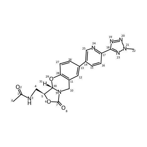 CC(=O)NC[C@@H]1OC(=O)N2Cc3cc(-c4ccc(-c5nnn(C)n5)nc4)ccc3O[C@@H]12